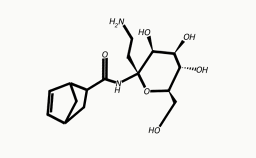 NCC[C@]1(NC(=O)C2CC3C=CC2C3)O[C@H](CO)[C@@H](O)[C@H](O)[C@@H]1O